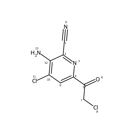 N#Cc1nc(C(=O)CCl)cc(Cl)c1N